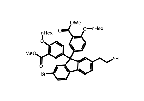 CCCCCCOc1ccc(C2(c3ccc(OCCCCCC)c(C(=O)OC)c3)c3cc(Br)ccc3-c3ccc(CCS)cc32)cc1C(=O)OC